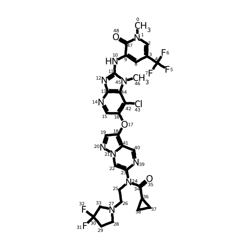 Cn1cc(C(F)(F)F)cc(Nc2nc3ncc(Oc4cnn5cc(N(CCN6CCC(F)(F)C6)C(=O)C6CC6)ncc45)c(Cl)c3n2C)c1=O